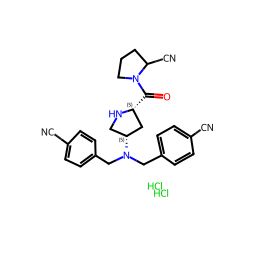 Cl.Cl.N#Cc1ccc(CN(Cc2ccc(C#N)cc2)[C@@H]2CN[C@H](C(=O)N3CCCC3C#N)C2)cc1